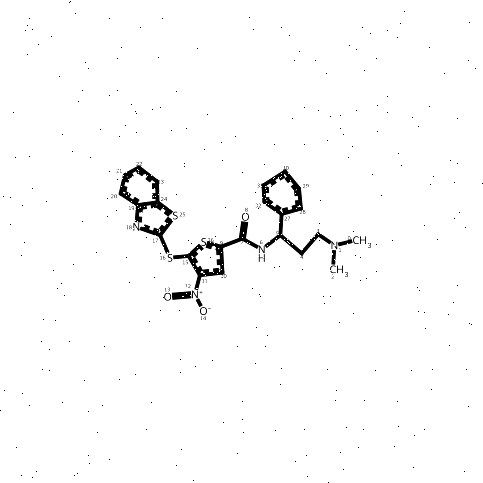 CN(C)CCC(NC(=O)c1cc([N+](=O)[O-])c(Sc2nc3ccccc3s2)s1)c1ccccc1